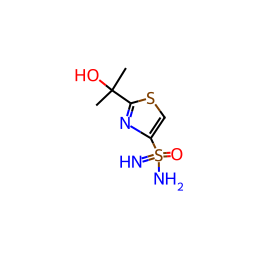 CC(C)(O)c1nc(S(=N)(N)=O)cs1